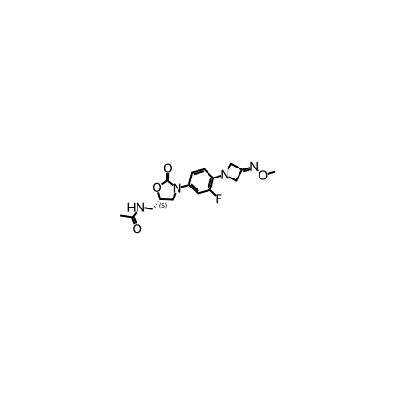 CON=C1CN(c2ccc(N3C[C@H](CNC(C)=O)OC3=O)cc2F)C1